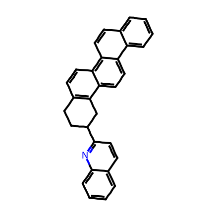 c1ccc2nc(C3CCc4ccc5c(ccc6c7ccccc7ccc56)c4C3)ccc2c1